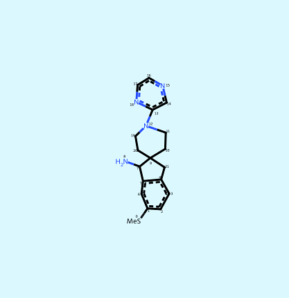 CSc1ccc2c(c1)C(N)C1(CCN(c3cnccn3)CC1)C2